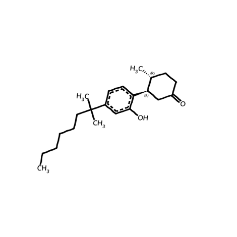 CCCCCCC(C)(C)c1ccc([C@@H]2CC(=O)CC[C@H]2C)c(O)c1